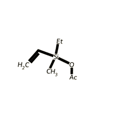 C=C[Si](C)(CC)OC(C)=O